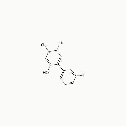 N#Cc1cc(-c2cccc(F)c2)c(O)cc1Cl